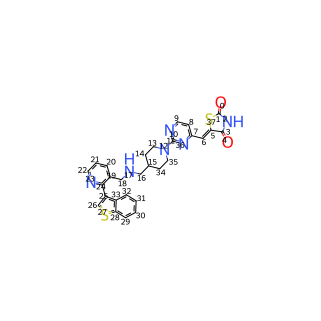 O=C1NC(=O)/C(=C/c2ccnc(N3CCC(CNCc4cccnc4-c4csc5ccccc45)CC3)n2)S1